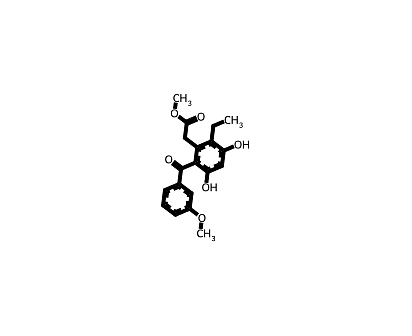 CCc1c(O)cc(O)c(C(=O)c2cccc(OC)c2)c1CC(=O)OC